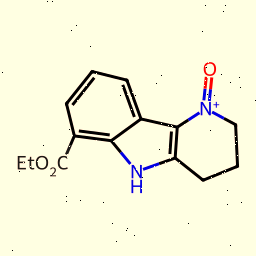 CCOC(=O)c1cccc2c3c([nH]c12)CCC[N+]3=O